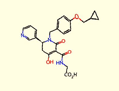 O=C(O)CNC(=O)C1=C(O)C[C@@H](c2cccnc2)N(Cc2ccc(OCC3CC3)cc2)C1=O